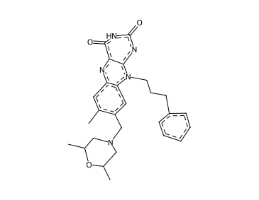 Cc1cc2nc3c(=O)[nH]c(=O)nc-3n(CCCc3ccccc3)c2cc1CN1CC(C)OC(C)C1